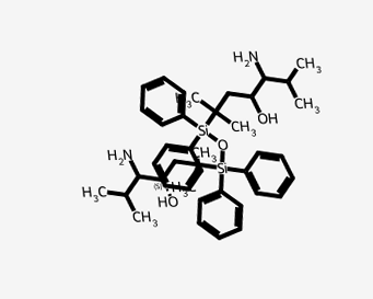 CC(C)C(N)C(O)CC(C)(C)[Si](O[Si](c1ccccc1)(c1ccccc1)C(C)(C)C[C@H](O)C(N)C(C)C)(c1ccccc1)c1ccccc1